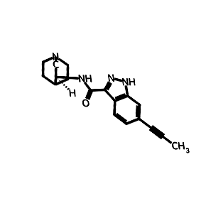 CC#Cc1ccc2c(C(=O)N[C@@H]3CN4CCC3CC4)n[nH]c2c1